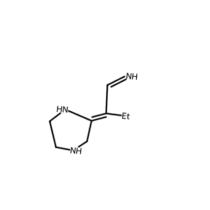 CCC(C=N)=C1CNCCN1